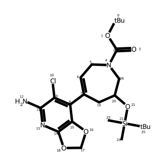 CC(C)(C)OC(=O)N1CC=C(c2c(Cl)c(N)nc3c2OCO3)CC(O[Si](C)(C)C(C)(C)C)C1